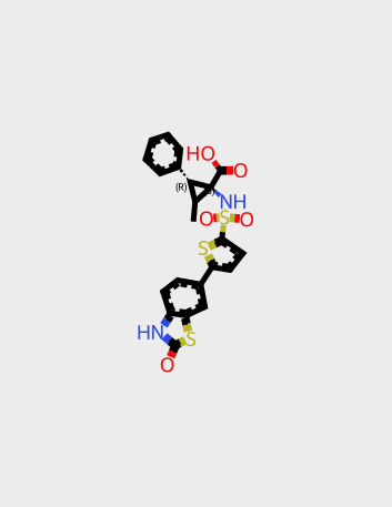 CC1[C@H](c2ccccc2)[C@]1(NS(=O)(=O)c1ccc(-c2ccc3[nH]c(=O)sc3c2)s1)C(=O)O